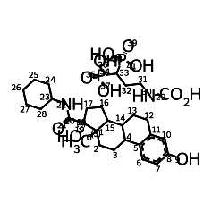 C[C@]12CCC3c4ccc(O)cc4CCC3C1CC[C@]2(O)C(=O)NC1CCCCC1.O=C(O)NCCC(P(=O)(O)O)P(=O)(O)O